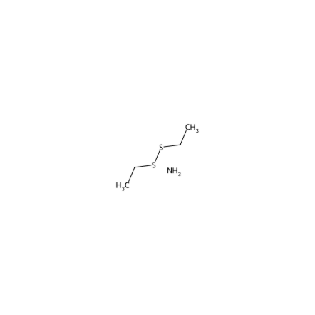 CCSSCC.N